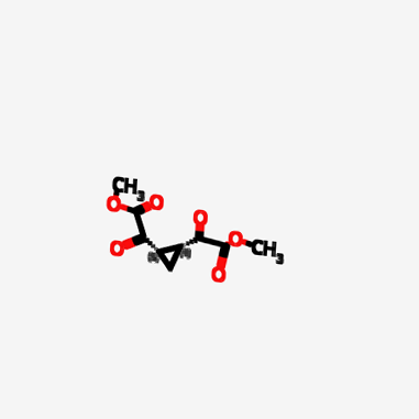 COC(=O)C(=O)[C@H]1C[C@H]1C(=O)C(=O)OC